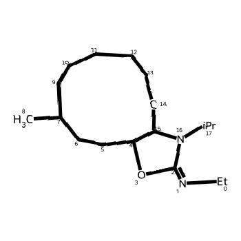 CC/N=C1/OC2CCC(C)CCCCCCC2N1C(C)C